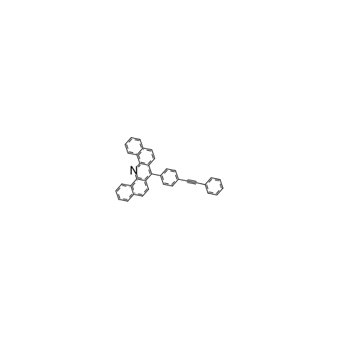 C(#Cc1ccc(-c2c3ccc4ccccc4c3nc3c2ccc2ccccc23)cc1)c1ccccc1